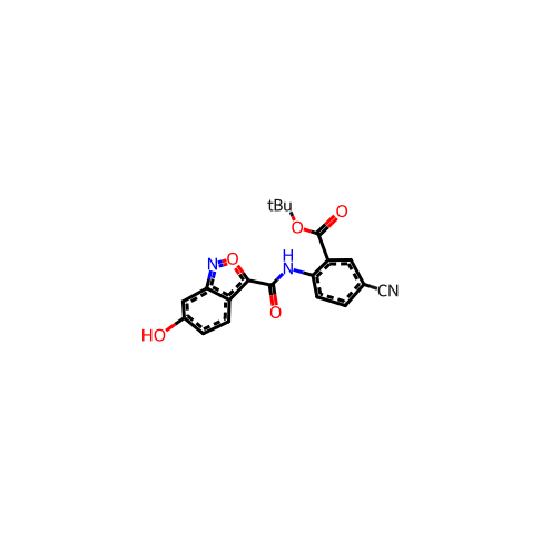 CC(C)(C)OC(=O)c1cc(C#N)ccc1NC(=O)c1onc2cc(O)ccc12